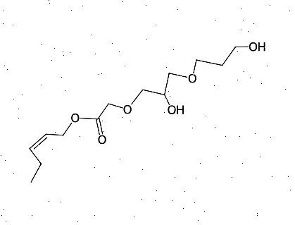 CC/C=C\COC(=O)COCC(O)COCCCO